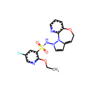 CCOc1ncc(F)cc1S(=O)(=O)NN1C=CC2=CCOc3cccnc3N21